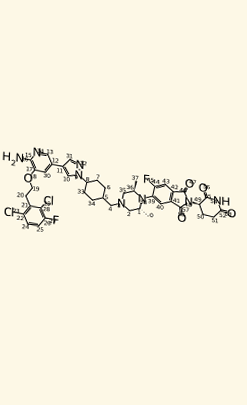 C[C@@H]1CN(CC2CCC(n3cc(-c4cnc(N)c(OCCc5c(Cl)ccc(F)c5Cl)c4)cn3)CC2)C[C@@H](C)N1c1cc2c(cc1F)C(=O)N([C@@H]1CCC(=O)NC1=O)C2=O